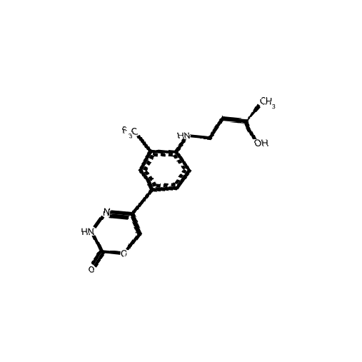 C[C@@H](O)CCNc1ccc(C2=NNC(=O)OC2)cc1C(F)(F)F